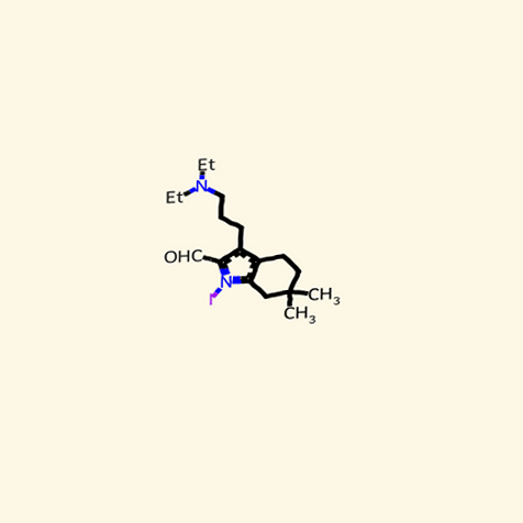 CCN(CC)CCCc1c2c(n(I)c1C=O)CC(C)(C)CC2